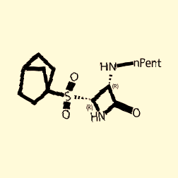 CCCCCN[C@@H]1C(=O)N[C@@H]1S(=O)(=O)C12CCC(CC1)C2